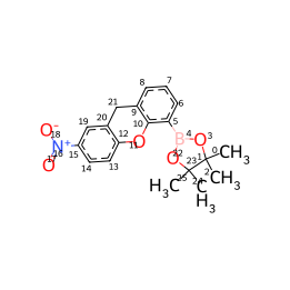 CC1(C)OB(c2cccc3c2Oc2ccc([N+](=O)[O-])cc2C3)OC1(C)C